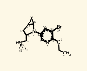 CCOc1ncc(N2C(CNC)CC3CC32)cc1Br